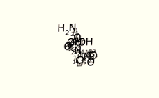 NCCCCC1(C(=O)O)CN(Cc2ccccc2N2CCOC2=O)CCP1(=O)O